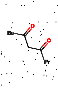 CCC(C)C(=O)CC(=O)C(C)C